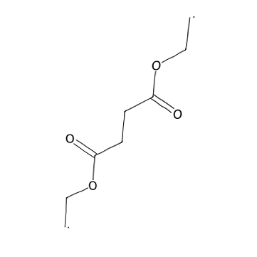 [CH2]COC(=O)CCC(=O)OC[CH2]